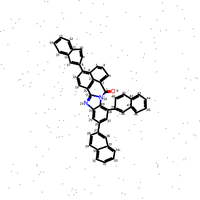 O=c1c2cccc3c(-c4ccc5ccccc5c4)ccc(c32)c2nc3cc(-c4ccc5ccccc5c4)cc(-c4ccc5ccccc5c4)c3n12